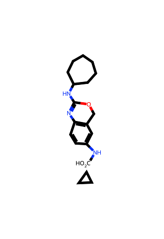 C1CC1.O=C(O)Nc1ccc2c(c1)COC(NC1CCCCCC1)=N2